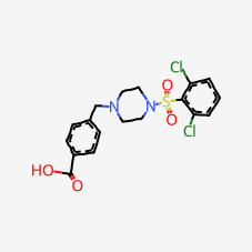 O=C(O)c1ccc(CN2CCN(S(=O)(=O)c3c(Cl)cccc3Cl)CC2)cc1